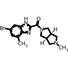 Cc1cc(Br)cc2[nH]c(C(=O)N3C[C@H]4CN(C)C[C@H]4C3)nc12